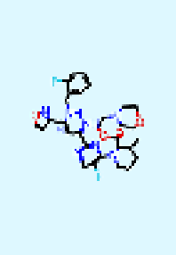 CC1CCCN(c2nc(C(=N)/C=C(\NCc3ccccc3F)c3ccon3)ncc2F)C1C(=O)OCCN1CCOCC1